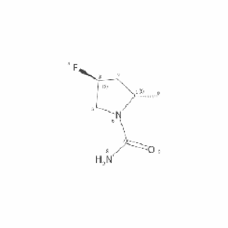 C[C@H]1C[C@H](F)CN1C(N)=O